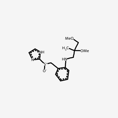 COCC(C)(CNc1ccccc1C[S+]([O-])c1ncc[nH]1)OC